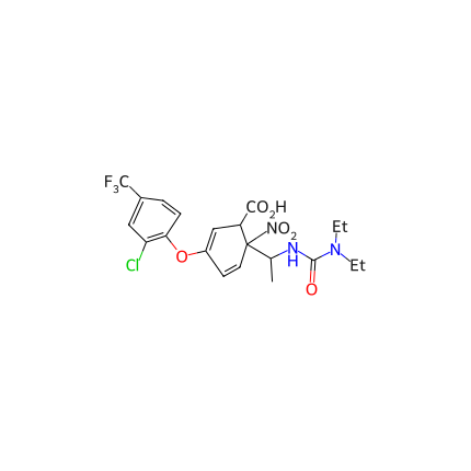 CCN(CC)C(=O)NC(C)C1([N+](=O)[O-])C=CC(Oc2ccc(C(F)(F)F)cc2Cl)=CC1C(=O)O